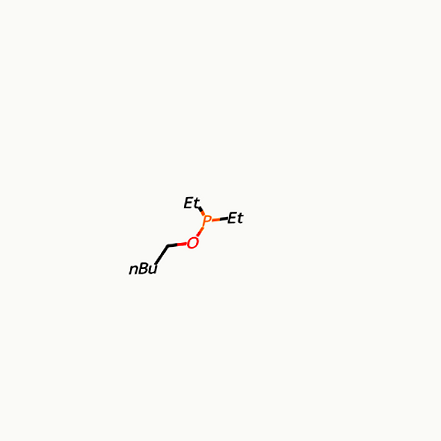 CCCCCOP(CC)CC